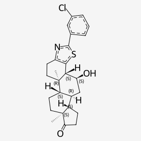 C[C@]12CCc3nc(-c4cccc(Cl)c4)sc3[C@@H]1[C@@H](O)C[C@@H]1[C@@H]2CC[C@]2(C)C(=O)CC[C@@H]12